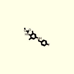 COC(=O)Nc1c(C)cc(NCc2ccc(F)cc2)cc1C